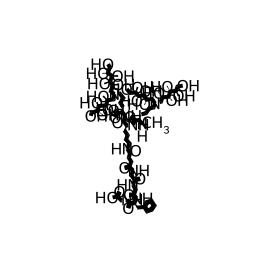 CN[C@@H](CCCCN(C[C@H](O)[C@@H](O)[C@H](O)[C@H](O)CO)C[C@H](O)[C@@H](O)[C@H](O)[C@H](O)CO)C(=O)N[C@@H](CCCCNC(=O)CCC(=O)NCC(=O)NCC(=O)N[C@@H](Cc1ccccc1)C(=O)NCC(=O)O)C(=O)N[C@@H](CCCCN(C[C@H](O)[C@@H](O)[C@H](O)[C@H](O)CO)C[C@H](O)[C@@H](O)[C@H](O)[C@H](O)CO)C(=O)O